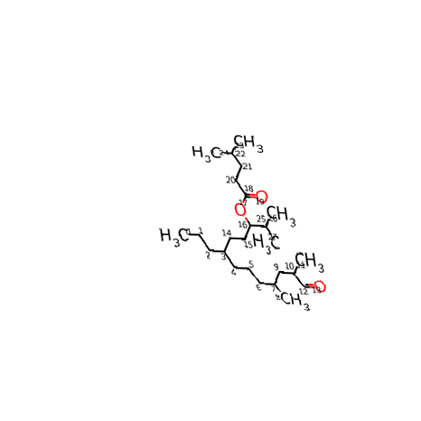 CCCC(CCCC(C)CC(C)C=O)CCC(OC(=O)CCC(C)C)C(C)C